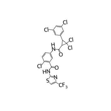 O=C(Nc1nc(C(F)(F)F)cs1)c1cc(NC(=O)C2C(c3cc(Cl)cc(Cl)c3)C2(Cl)Cl)ccc1Cl